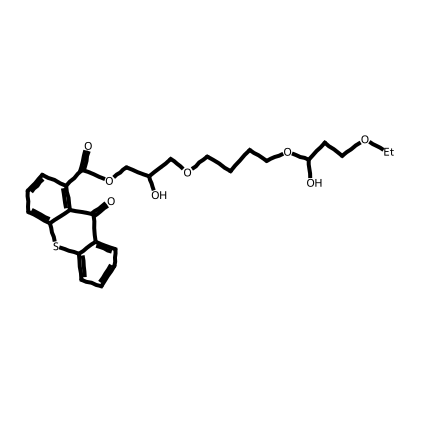 CCOCCC(O)OCCCCOCC(O)COC(=O)c1cccc2sc3ccccc3c(=O)c12